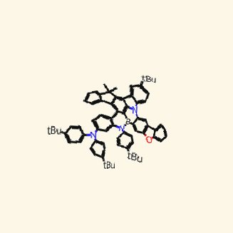 CC(C)(C)c1ccc(N2B3c4cc5oc6ccccc6c5cc4-n4c5ccc(C(C)(C)C)cc5c5c6c(c(c3c54)-c3ccc(N(c4ccc(C(C)(C)C)cc4)c4ccc(C(C)(C)C)cc4)cc32)-c2ccccc2C6(C)C)cc1